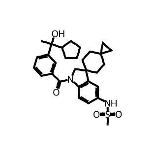 CC(O)(c1cccc(C(=O)N2CC3(CCC4(CC4)CC3)c3cc(NS(C)(=O)=O)ccc32)c1)C1CCCC1